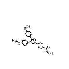 COC1=CC=C(c2oc(C3CCN(C(=O)NO)CC3)cc2-c2ccc(OC)cc2)CC1